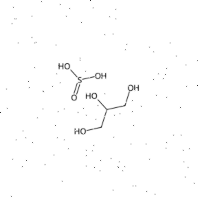 O=S(O)O.OCC(O)CO